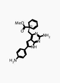 COC(=O)[C@@]1(Cc2nc(N)nc3[nH]c(-c4ccc(N)cc4)cc23)C=CC=CC1